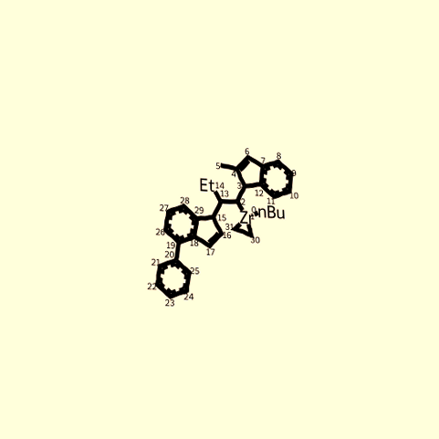 CCC[CH2][Zr]1([CH](C2C(C)=Cc3ccccc32)C(CC)C2C=Cc3c(-c4ccccc4)cccc32)[CH2][CH2]1